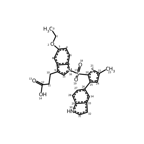 CCOc1ccc2c(c1)c(CCC(=O)O)cn2S(=O)(=O)c1sc(C)cc1-c1ccc2[nH]ccc2c1